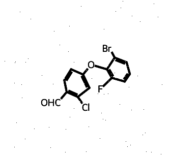 O=Cc1ccc(Oc2c(F)cccc2Br)cc1Cl